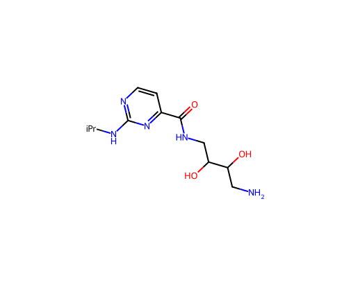 CC(C)Nc1nccc(C(=O)NCC(O)C(O)CN)n1